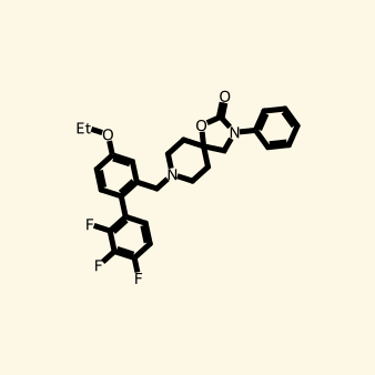 CCOc1ccc(-c2ccc(F)c(F)c2F)c(CN2CCC3(CC2)CN(c2ccccc2)C(=O)O3)c1